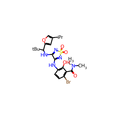 CC(C)c1coc(C(NC2=NS(=O)(=O)N=C2Nc2ccc(Br)c(C(=O)N(C)C)c2O)C(C)(C)C)c1